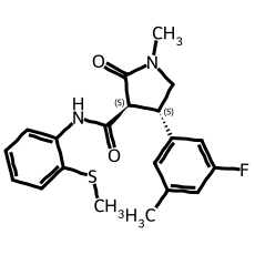 CSc1ccccc1NC(=O)[C@H]1C(=O)N(C)C[C@@H]1c1cc(C)cc(F)c1